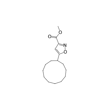 COC(=O)c1cc(C2CCCCCCCCCC2)on1